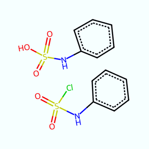 O=S(=O)(Cl)Nc1ccccc1.O=S(=O)(O)Nc1ccccc1